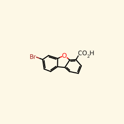 O=C(O)c1cccc2c1oc1cc(Br)ccc12